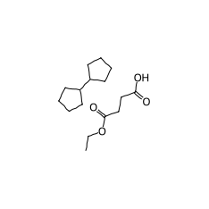 C1CCC(C2CCCC2)C1.CCOC(=O)CCC(=O)O